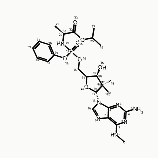 CNc1nc(N)nc2c1ncn2[C@@H]1OC(COP(=S)(N[C@@H](C)C(=O)OC(C)C)Oc2ccccc2)[C@@H](O)[C@@]1(C)F